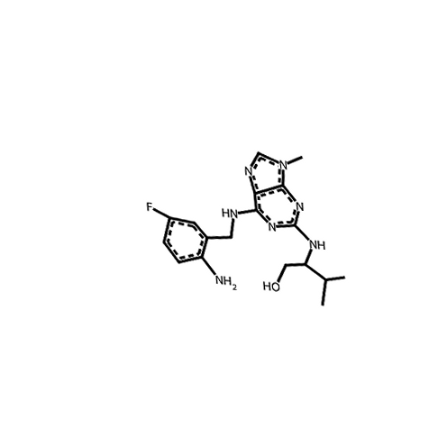 CC(C)C(CO)Nc1nc(NCc2cc(F)ccc2N)c2ncn(C)c2n1